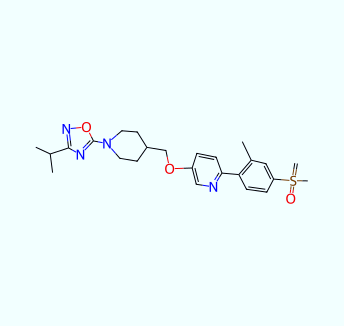 C=S(C)(=O)c1ccc(-c2ccc(OCC3CCN(c4nc(C(C)C)no4)CC3)cn2)c(C)c1